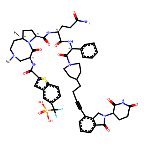 CC(=O)N1CC[C@H]2CC[C@@H](C(=O)N[C@@H](CCC(N)=O)C(=O)N[C@H](C(=O)N3CCC(CCC#Cc4cccc5c4CN(C4CCC(=O)NC4=O)C5=O)CC3)c3ccccc3)N2C(=O)[C@@H](NC(=O)c2cc3cc(C(F)(F)P(=O)(O)O)ccc3s2)C1